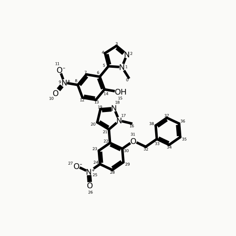 Cn1nccc1-c1cc([N+](=O)[O-])ccc1O.Cn1nccc1-c1cc([N+](=O)[O-])ccc1OCc1ccccc1